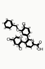 O=C(O)c1ccc(-c2ncc(Cl)cc2Cl)c(-c2ccc(Cl)c(OCc3ccccc3)c2)n1